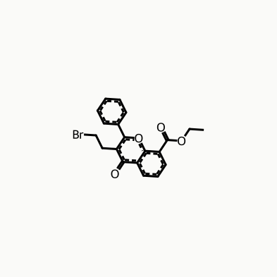 CCOC(=O)c1cccc2c(=O)c(CCBr)c(-c3ccccc3)oc12